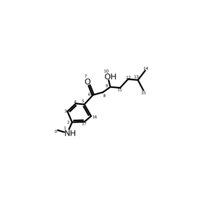 CNc1ccc(C(=O)CC(O)CCC(C)C)cc1